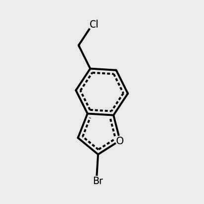 ClCc1ccc2oc(Br)cc2c1